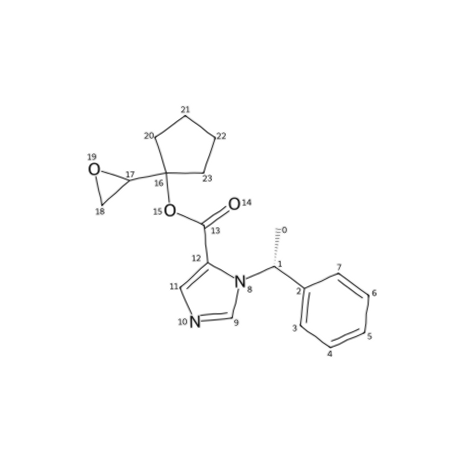 C[C@H](c1ccccc1)n1cncc1C(=O)OC1(C2CO2)CCCC1